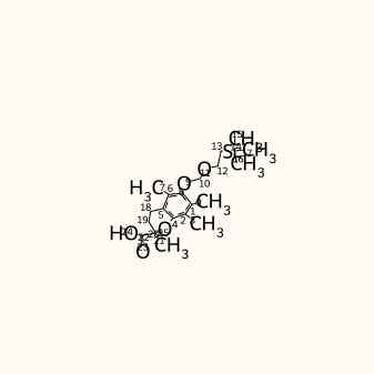 Cc1c(C)c2c(c(C)c1OCOCC[Si](C)(C)C)CCC(C)(C(=O)O)O2